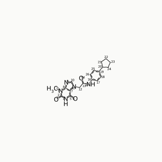 Cn1c(=O)[nH]c(=O)c2c1ncn2CC(=O)Nc1ccc(C2CCCC2)cc1